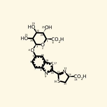 O=C(O)[C@H]1O[C@@H](Oc2ccc3nc(C4=N[C@@H](C(=O)O)CS4)sc3c2)C(O)[C@@H](O)[C@@H]1O